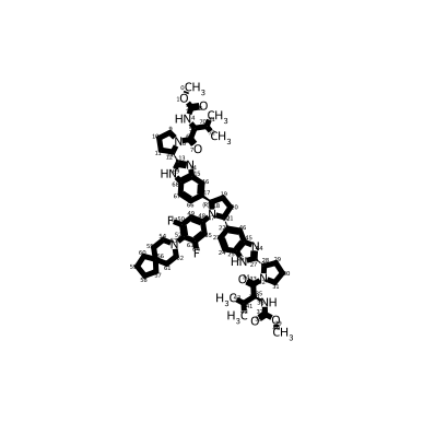 COC(=O)NC(C(=O)N1CCC[C@H]1c1nc2cc([C@H]3CC[C@H](c4ccc5[nH]c([C@@H]6CCCN6C(=O)[C@@H](NC(=O)OC)C(C)C)nc5c4)N3c3cc(F)c(N4CCC5(CCCC5)CC4)c(F)c3)ccc2[nH]1)C(C)C